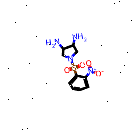 NC1CN(S(=O)(=O)c2ccccc2[N+](=O)[O-])CC1N